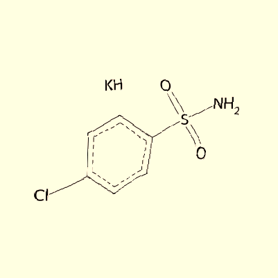 NS(=O)(=O)c1ccc(Cl)cc1.[KH]